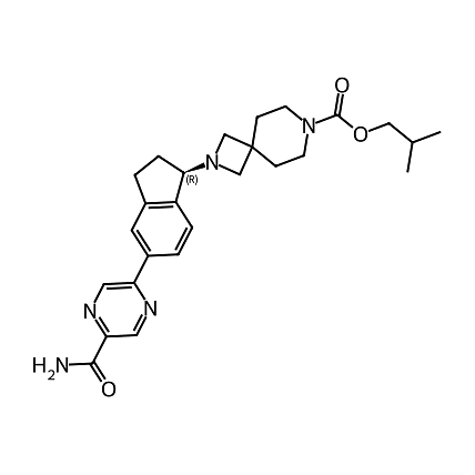 CC(C)COC(=O)N1CCC2(CC1)CN([C@@H]1CCc3cc(-c4cnc(C(N)=O)cn4)ccc31)C2